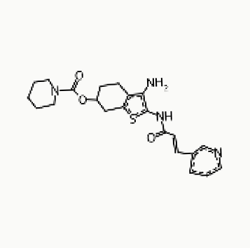 Nc1c(NC(=O)/C=C/c2cccnc2)sc2c1CCC(OC(=O)N1CCCCC1)C2